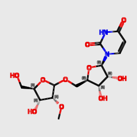 CO[C@H]1C(OC[C@H]2O[C@@H](n3ccc(=O)[nH]c3=O)[C@H](O)[C@@H]2O)O[C@H](CO)[C@H]1O